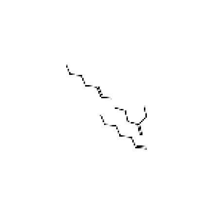 C=C(CC)CCC.C=CCCCCC.CC=CCCCC